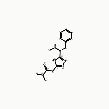 CN[C@@H](Cc1ccccc1)c1nnc(CC(=O)C(C)C)[nH]1